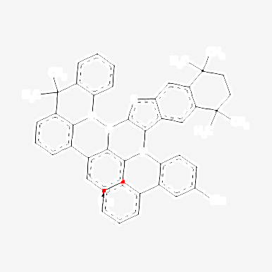 CC(C)(C)c1ccc(N2c3cc(C(C)(C)C)cc4c3B(c3sc5cc6c(cc5c32)C(C)(C)CCC6(C)C)N2c3ccccc3C(C)(C)c3cccc-4c32)c(-c2ccccc2)c1